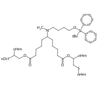 CCCCCCCCC(CCCCCC)COC(=O)CCCCC(CCCCC(=O)OC(CCCCCC)CSCCCCCC)N(C)CCCCO[Si](c1ccccc1)(c1ccccc1)C(C)(C)C